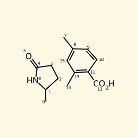 CC1CCC(=O)N1.Cc1ccc(C(=O)O)c(C)c1